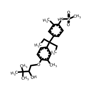 CCC(CC)(c1ccc(NS(C)(=O)=O)c(C)c1)c1ccc(OCC(O)C(C)(C)C)c(C)c1